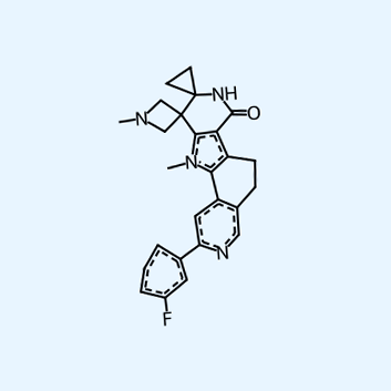 CN1CC2(C1)c1c(c3c(n1C)-c1cc(-c4cccc(F)c4)ncc1CC3)C(=O)NC21CC1